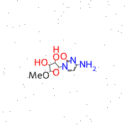 COC1OC(n2ccc(N)nc2=O)C(O)C1O